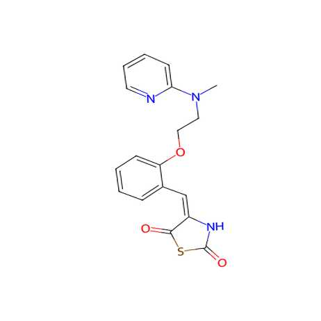 CN(CCOc1ccccc1C=C1NC(=O)SC1=O)c1ccccn1